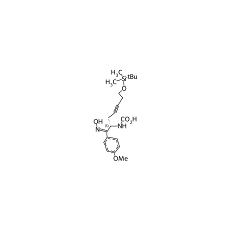 COc1ccc(C(=NO)[C@H](CC#CCCO[Si](C)(C)C(C)(C)C)NC(=O)O)cc1